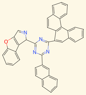 C1=NC(c2nc(-c3ccc4ccccc4c3)nc(-c3cc4ccccc4c4c3ccc3ccccc34)n2)c2c1oc1ccccc21